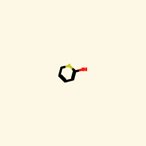 OC1=CC=CCS1